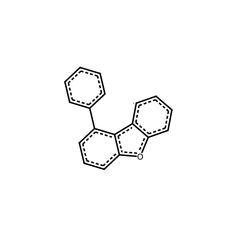 [c]1cccc2oc3cccc(-c4ccccc4)c3c12